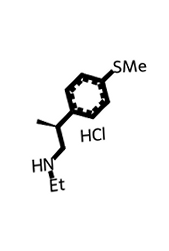 CCNC[C@@H](C)c1ccc(SC)cc1.Cl